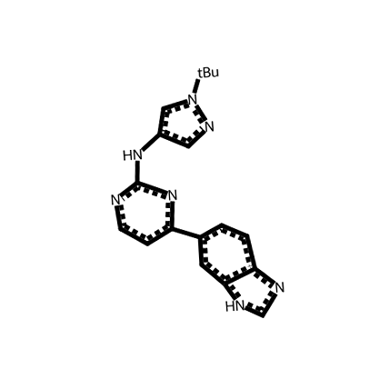 CC(C)(C)n1cc(Nc2nccc(-c3ccc4nc[nH]c4c3)n2)cn1